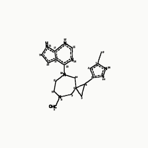 Cc1cc(C2CC23CN(C=O)CCN(c2ncnc4[nH]ccc24)C3)sn1